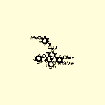 COc1ccc(COC(=O)N(CCc2ccc(OC)c(OC)c2)CC(OC2CCCCO2)C(=O)Oc2ccccc2)cc1